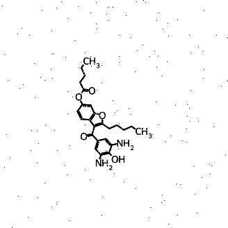 CCCCCc1oc2cc(OC(=O)CCCC)ccc2c1C(=O)c1cc(N)c(O)c(N)c1